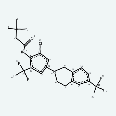 CC(C)(C)CC(=O)Nc1c(Cl)cc(N2CCc3cc(C(F)(F)F)ccc3C2)cc1C(F)(F)F